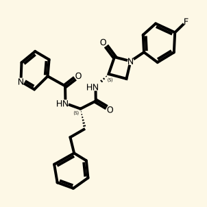 O=C(N[C@@H](CCc1ccccc1)C(=O)N[C@H]1CN(c2ccc(F)cc2)C1=O)c1cccnc1